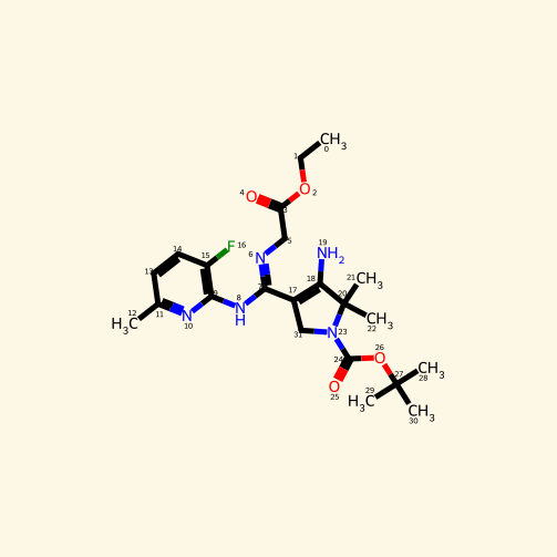 CCOC(=O)C/N=C(/Nc1nc(C)ccc1F)C1=C(N)C(C)(C)N(C(=O)OC(C)(C)C)C1